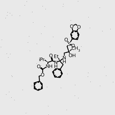 CC[C@](Cc1ccccc1)(NC[C@@](C)(O)CS(=O)(=O)c1ccc2c(c1)OCO2)NC(=O)[C@@H](NC(=O)OCc1ccccc1)C(C)C